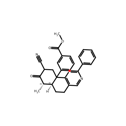 COC(=O)c1cccc(C23CC(C#N)C(=O)[C@@H](C)[C@@H]2CCc2cnc(-c4ccccc4)nc23)c1